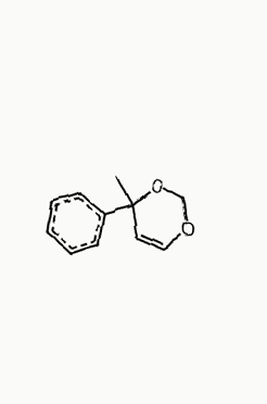 CC1(c2ccccc2)C=COCO1